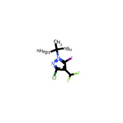 CCCCCCCC(C)(CCCC)n1nc(Cl)c(C(F)F)c1I